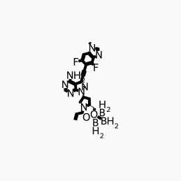 BC(B)(B)OC[C@H]1C[C@H](n2nc(C#Cc3c(F)cc4c(ncn4C)c3F)c3c(N)ncnc32)CN1C(=O)C=C